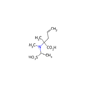 C=CCC(C)(C(=O)O)N(C)C(C)S(=O)(=O)O